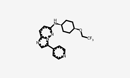 FC(F)(F)CO[C@H]1CC[C@@H](Nc2ccc3ncc(-c4ccncc4)n3n2)CC1